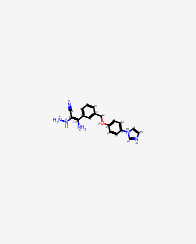 N#C/C(NN)=C(/N)c1cccc(COc2ccc(-n3ccnc3)cc2)c1